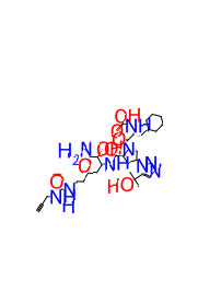 C#CCNC(=O)NCCCCC(NC(=O)[C@@H]1C[C@H](n2nncc2C(C)(C)O)CN1C(=O)[C@@H](CC1CCCCC1)NC(=O)O)C(O)C(N)=O